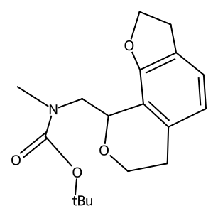 CN(CC1OCCc2ccc3c(c21)OCC3)C(=O)OC(C)(C)C